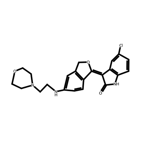 O=C1Nc2ccc(Cl)cc2C1=C1OCc2cc(NCCN3CCOCC3)ccc21